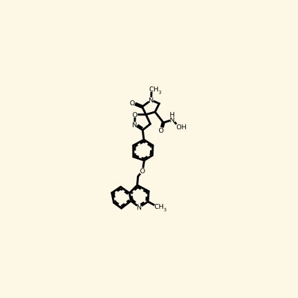 Cc1cc(COc2ccc(C3=NOC4(C3)C(=O)N(C)CC4C(=O)NO)cc2)c2ccccc2n1